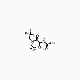 CCN(CC(F)(F)F)C(=O)C(C)NC(=O)O